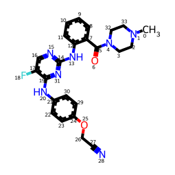 CN1CCN(C(=O)c2ccccc2Nc2ncc(F)c(Nc3ccc(OCC#N)cc3)n2)CC1